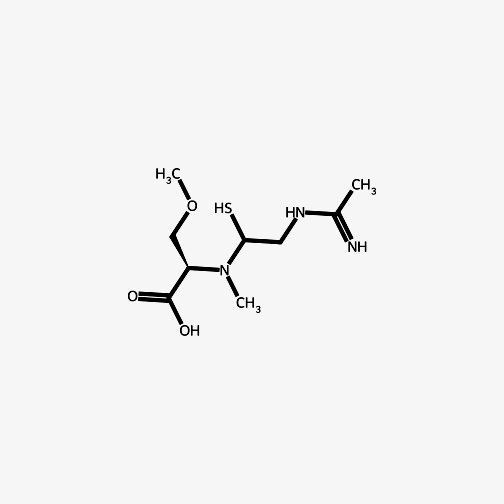 COC[C@H](C(=O)O)N(C)C(S)CNC(C)=N